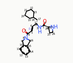 O=C(N[C@H](/C=C/C(=O)N1Cc2ccccc2C1)CC1CCCCC1)[C@@H]1CCN1